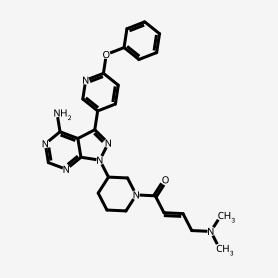 CN(C)CC=CC(=O)N1CCCC(n2nc(-c3ccc(Oc4ccccc4)nc3)c3c(N)ncnc32)C1